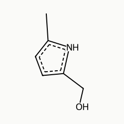 Cc1ccc(CO)[nH]1